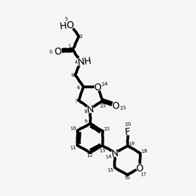 O=C(CO)NCC1CN(c2cccc(N3CCOCC3F)c2)C(=O)O1